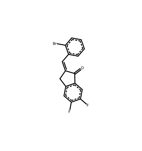 O=C1C(=Cc2ccccc2Br)Cc2cc(F)c(F)cc21